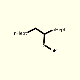 CCCCCCCCC(CCCCCCC)SCCC